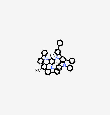 N#Cc1ccc(-c2c(-n3c4ccccc4c4ccccc43)c(C#N)c(-n3c4ccc(-c5ccccc5)cc4c4cc(-c5ccccc5)c5c(c6ccccc6n5-c5ccccc5)c43)c(C#N)c2-n2c3ccccc3c3ccccc32)cc1